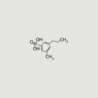 CCCc1cc(C)cc(P(=O)(O)O)c1